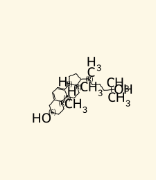 C[C@H](CCCC(C)(C)O)C1CC[C@H]2C3=CC=C4C[C@@H](O)CC[C@]4(C)[C@H]3CC[C@]12C